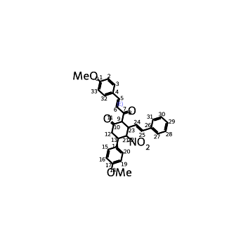 COc1ccc(/C=C/C(=O)C2C(=O)CC(c3ccc(OC)cc3)C([N+](=O)[O-])C2C=Cc2ccccc2)cc1